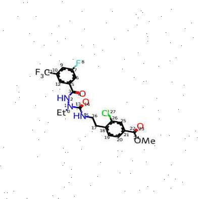 CCN(NC(=O)c1cc(F)cc(C(F)(F)F)c1)C(=O)NCCc1ccc(C(=O)OC)cc1Cl